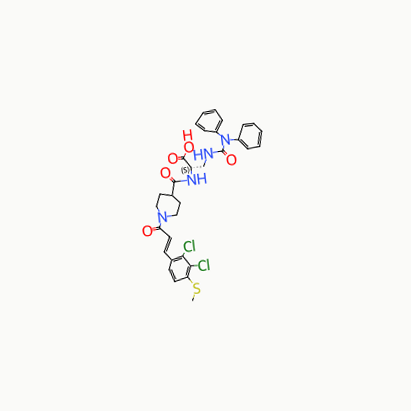 CSc1ccc(C=CC(=O)N2CCC(C(=O)N[C@@H](CNC(=O)N(c3ccccc3)c3ccccc3)C(=O)O)CC2)c(Cl)c1Cl